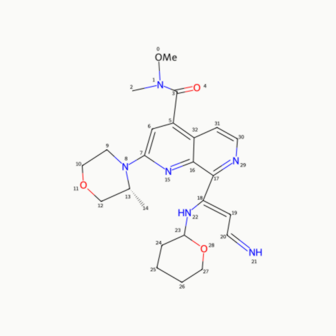 CON(C)C(=O)c1cc(N2CCOC[C@H]2C)nc2c(/C(=C/C=N)NC3CCCCO3)nccc12